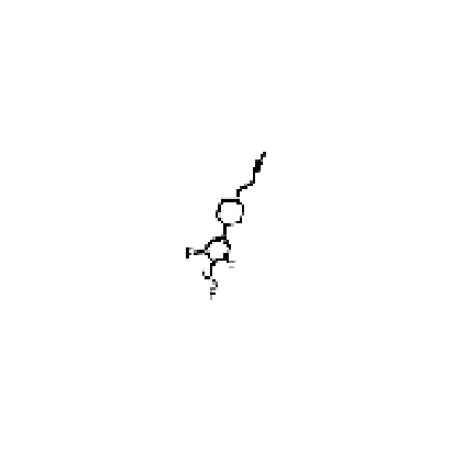 CC#CCCC1CCC(c2cc(F)c(OCF)c(F)c2)CC1